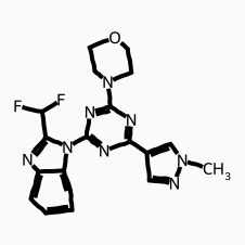 Cn1cc(-c2nc(N3CCOCC3)nc(-n3c(C(F)F)nc4ccccc43)n2)cn1